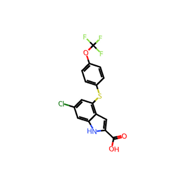 O=C(O)c1cc2c(Sc3ccc(OC(F)(F)F)cc3)cc(Cl)cc2[nH]1